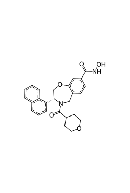 O=C(NO)c1ccc2c(c1)OC[C@@H](c1cccc3ccccc13)N(C(=O)C1CCOCC1)C2